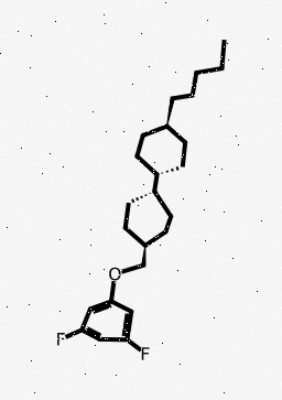 CCCCC[C@H]1CC[C@H]([C@H]2CC[C@H](COc3cc(F)cc(F)c3)CC2)CC1